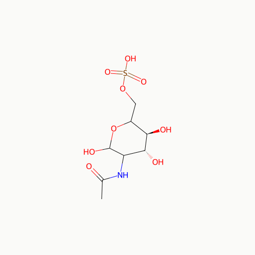 CC(=O)NC1C(O)OC(COS(=O)(=O)O)[C@@H](O)[C@@H]1O